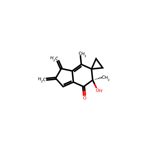 C=C1C=C2C(=O)[C@](C)(O)C3(CC3)C(C)=C2C1=C